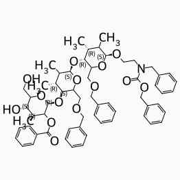 CC1[C@@H](O[C@H]2C(COCc3ccccc3)O[C@H](OCCN(Cc3ccccc3)C(=O)OCc3ccccc3)C(C)[C@H]2C)OC(COCc2ccccc2)[C@@H](O[C@@H]2OC(CO)[C@@H](O)[C@H](C)C2OC(=O)c2ccccc2)[C@@H]1C